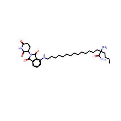 CCCCC(N)(CCCCCCCCCCCCCCNc1cccc2c1C(=O)N(C1CCC(=O)NC1=O)C2=O)C(N)=O